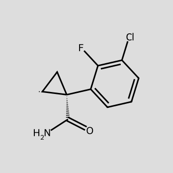 NC(=O)[C@]1(c2cccc(Cl)c2F)[CH]C1